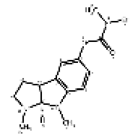 CCN(C)C(=O)Oc1ccc2c(c1)C1CCN(C)[C@@H]1N2C